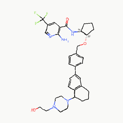 Nc1ncc(C(F)(F)F)cc1C(=O)N[C@H]1CCC[C@@H]1OCc1ccc(-c2ccc3c(c2)CCCC3N2CCN(CCO)CC2)cc1